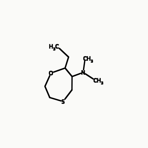 CCC1OCCSCC1N(C)C